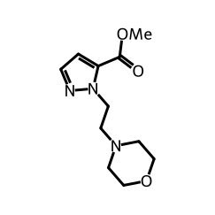 COC(=O)c1ccnn1CCN1CCOCC1